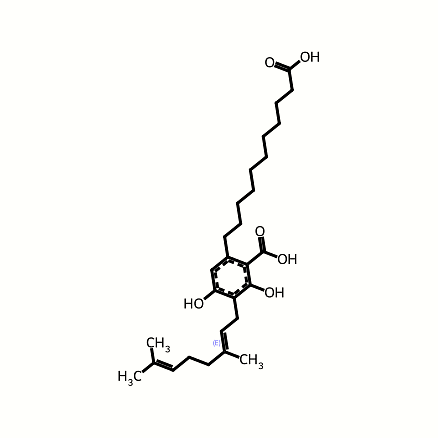 CC(C)=CCC/C(C)=C/Cc1c(O)cc(CCCCCCCCCCC(=O)O)c(C(=O)O)c1O